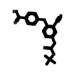 CC(C)(C)OC(=O)Cc1ccc(Oc2ccc(C(=O)O)cc2)c(C#N)c1